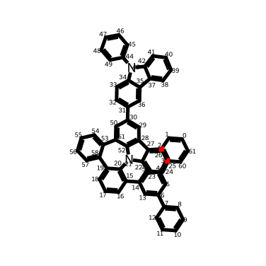 c1ccc(-c2cc(-c3ccccc3)cc(-c3cccc4c3-n3c5ccccc5c5cc(-c6ccc7c(c6)c6ccccc6n7-c6ccccc6)cc(c53)-c3ccccc3-4)c2)cc1